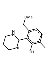 COCc1cnc(C)c(O)c1C1NCCCN1